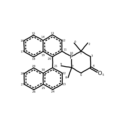 CC1(C)CC(=O)CC(C)(C)P1c1ccc2ccccc2c1-c1cccc2ccccc12